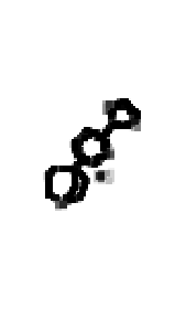 Cl.c1c[nH]c(-c2ccc(C34CCCN(CC3)C4)cn2)n1